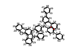 c1ccc(-c2ccc(N(c3ccc(-c4cc5c6ccccc6oc5c5c6ccccc6n(-c6ccccc6)c45)cc3)c3ccc(-c4ccccc4)cc3-c3ccccc3)cc2)cc1